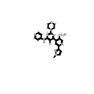 CCOC(=O)c1cnc(-c2ccn(C)n2)cc1-c1nc(N2CCOCC2)nc(Nc2ccncc2)c1Cl